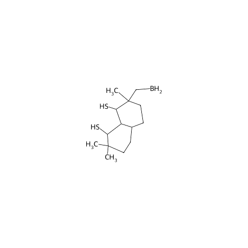 BCC1(C)CCC2CCC(C)(C)C(S)C2C1S